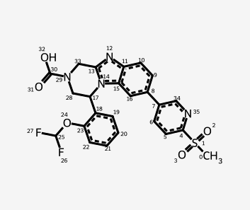 CS(=O)(=O)c1ccc(-c2ccc3nc4n(c3c2)C(c2ccccc2OC(F)F)CN(C(=O)O)C4)cn1